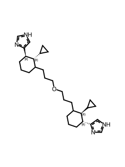 c1nc([C@@H]2CCCC(CCCOCCCC3CCC[C@@H](c4c[nH]cn4)[C@@H]3C3CC3)[C@H]2C2CC2)c[nH]1